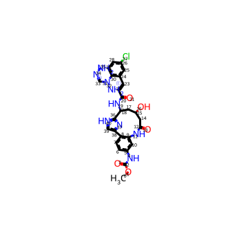 COC(=O)Nc1ccc2c(c1)NC(=O)CC(O)C[C@H](NC(=O)/C=C/c1cc(Cl)ccc1N(N)/C=N\N)c1nc-2c[nH]1